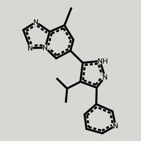 Cc1cc(-c2[nH]nc(-c3cccnc3)c2C(C)C)cn2ncnc12